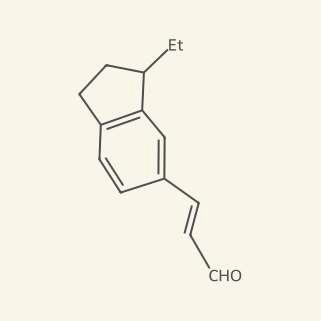 CCC1CCc2ccc(C=CC=O)cc21